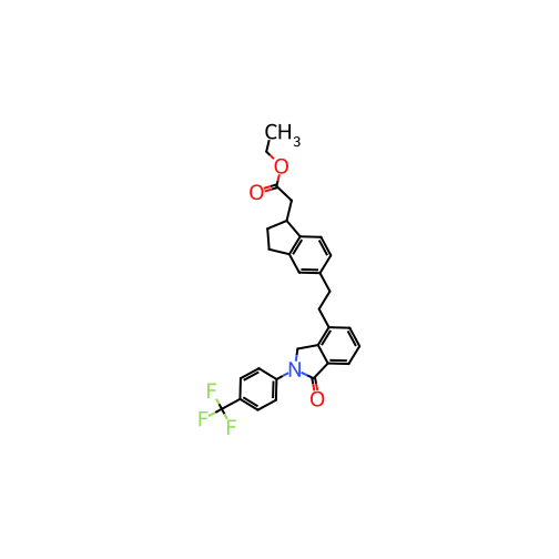 CCOC(=O)CC1CCc2cc(CCc3cccc4c3CN(c3ccc(C(F)(F)F)cc3)C4=O)ccc21